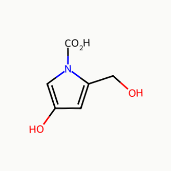 O=C(O)n1cc(O)cc1CO